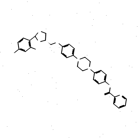 C[C@]1(c2ccc(Cl)cc2Cl)OC[C@@H](COc2ccc(N3CCN(c4ccc(NC(=O)c5ccccn5)cc4)CC3)cc2)O1